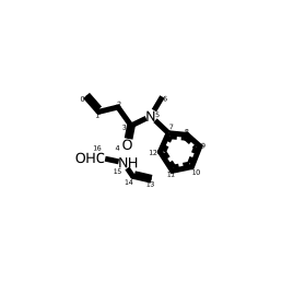 C=CCC(=O)N(C)c1ccccc1.C=CNC=O